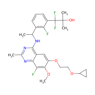 COc1c(OCCOC2CC2)cc2c(NC(C)c3cccc(C(F)(F)C(C)(C)O)c3F)nc(C)nc2c1F